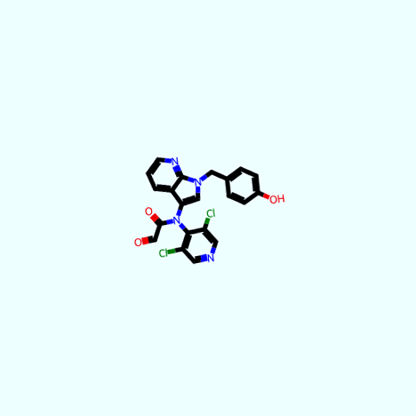 O=CC(=O)N(c1c(Cl)cncc1Cl)c1cn(Cc2ccc(O)cc2)c2ncccc12